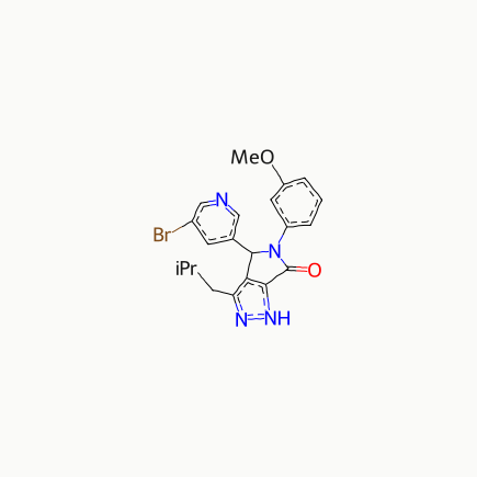 COc1cccc(N2C(=O)c3[nH]nc(CC(C)C)c3C2c2cncc(Br)c2)c1